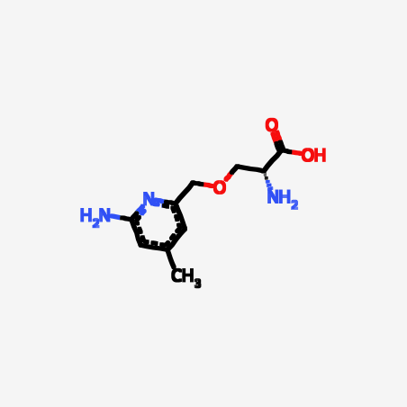 Cc1cc(N)nc(COC[C@@H](N)C(=O)O)c1